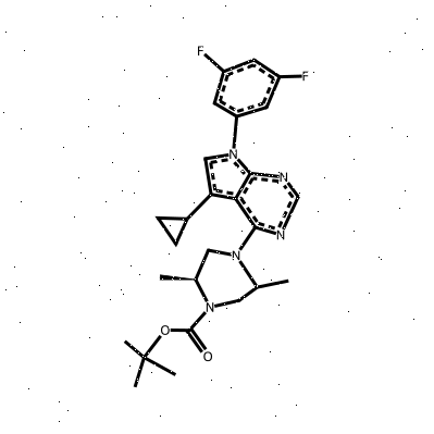 CC1CN(C(=O)OC(C)(C)C)[C@@H](C)CN1c1ncnc2c1c(C1CC1)cn2-c1cc(F)cc(F)c1